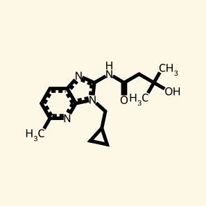 Cc1ccc2nc(NC(=O)CC(C)(C)O)n(CC3CC3)c2n1